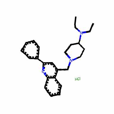 CCN(CC)C1CCN(Cc2cc(-c3ccccc3)nc3ccccc23)CC1.Cl